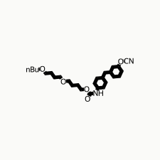 CCCCOCCCCOCCCCOC(=O)NC1CCC(CC2CCCC(OC#N)C2)CC1